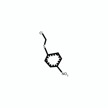 O=[N+]([O-])c1ccc(SCCl)cc1